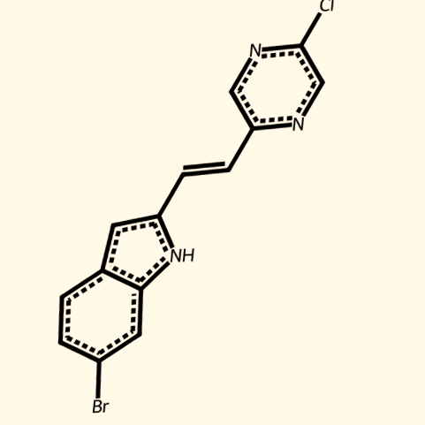 Clc1cnc(C=Cc2cc3ccc(Br)cc3[nH]2)cn1